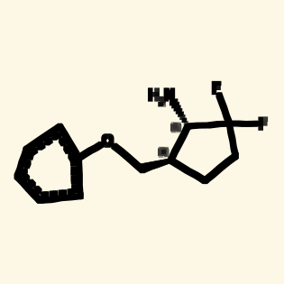 N[C@H]1[C@H](COc2ccccc2)CCC1(F)F